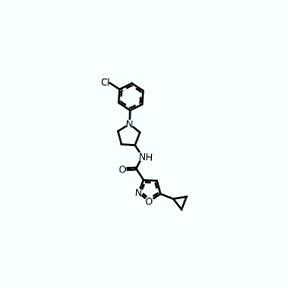 O=C(NC1CCN(c2cccc(Cl)c2)C1)c1cc(C2CC2)on1